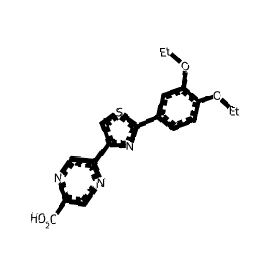 CCOc1ccc(-c2nc(-c3cnc(C(=O)O)cn3)cs2)cc1OCC